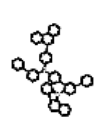 c1ccc(-c2cccc(N(c3ccc(-c4cc(-c5ccccc5)ccc4-n4c5ccccc5c5ccc6ccccc6c54)cc3)c3ccc(-c4cc5ccccc5c5ccccc45)cc3)c2)cc1